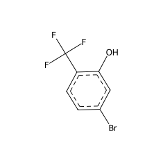 Oc1cc(Br)ccc1C(F)(F)F